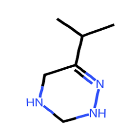 CC(C)C1=NNCNC1